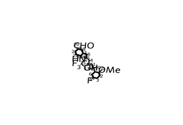 COc1ccc(F)cc1C(C)(C)CC(O)(Cc1cc2cc(C=O)ccc2[nH]1)C(F)(F)F